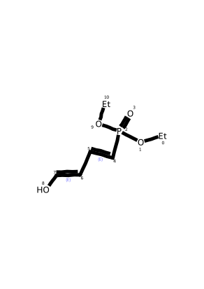 CCOP(=O)(/C=C/C=C/O)OCC